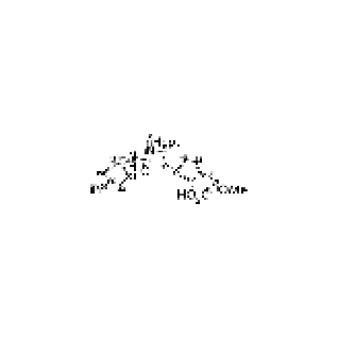 CCCCCCCN(CCc1ccc(CC(OC)C(=O)O)cc1)C(=O)Nc1ccc(C(C)C)cc1